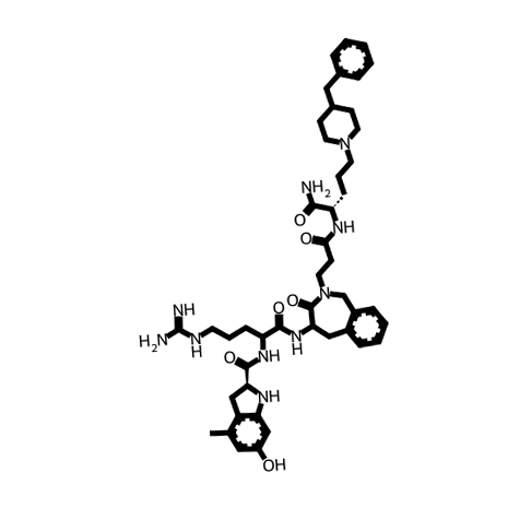 Cc1cc(O)cc2c1C[C@@H](C(=O)NC(CCCNC(=N)N)C(=O)NC1Cc3ccccc3CN(CCC(=O)N[C@@H](CCCN3CCC(Cc4ccccc4)CC3)C(N)=O)C1=O)N2